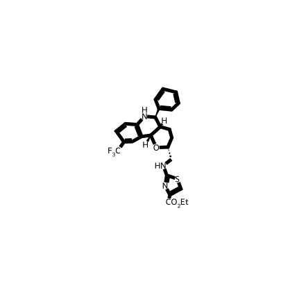 CCOC(=O)c1csc(NC[C@H]2CC[C@@H]3[C@H](O2)c2cc(C(F)(F)F)ccc2N[C@H]3c2ccccc2)n1